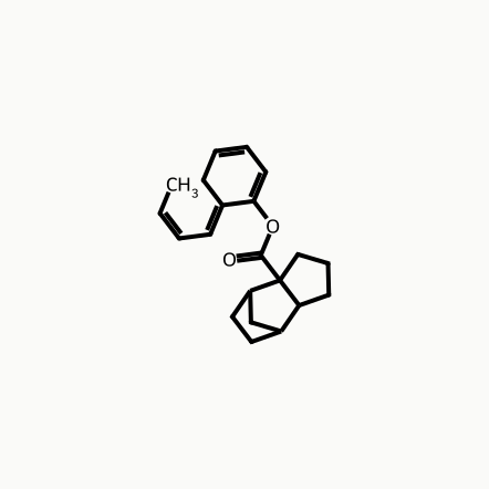 C/C=C\C=C1/CC=CC=C1OC(=O)C12CCCC1C1CCC2C1